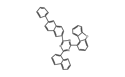 c1ccc(-c2ccc3cc(-c4nc(-c5cccc6ccccc56)nc(-c5cccc6oc7ccccc7c56)n4)ccc3c2)cc1